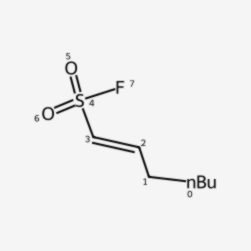 CCCCCC=CS(=O)(=O)F